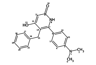 CN(C)c1ccc(-c2[nH]c(=O)cc(O)c2Cc2ccccc2)cc1